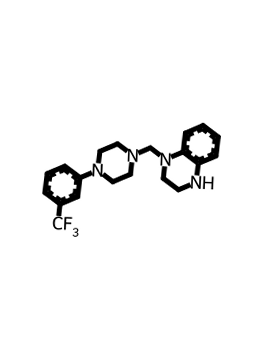 FC(F)(F)c1cccc(N2CCN(CN3CCNc4ccccc43)CC2)c1